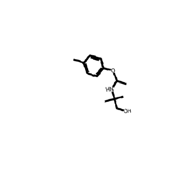 Cc1ccc(OC(C)NC(C)(C)CO)cc1